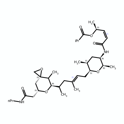 CCCNC(=O)C[C@@H]1C[C@@]2(CO2)C(C)[C@@H](C(C)C/C(C)=C/C[C@@H]2O[C@H](C)[C@H](NC(=O)/C=C\[C@H](C)OC(=O)C(C)C)C[C@@H]2C)O1